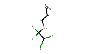 CC[CH]SC(F)(F)C(F)F